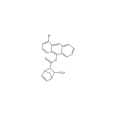 CCc1cccc2c(OC(=O)C3C4C=CC(C4)C3C(=O)O)c3ccccc3cc12